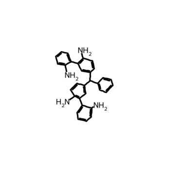 Nc1ccccc1-c1cc(C(c2ccccc2)c2ccc(N)c(-c3ccccc3N)c2)ccc1N